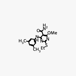 CCSc1nc(Nc2cc(C)cc(C)c2)c(C(N)=O)c(OC)n1